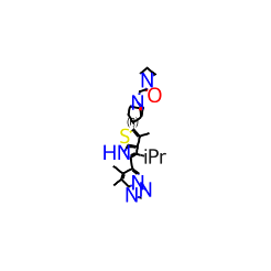 Cc1c(-c2[nH]c3sc([C@@H]4CC5CC4CN5CC(=O)N4CCC4)c(C)c3c2C(C)C)cn2ncnc2c1C